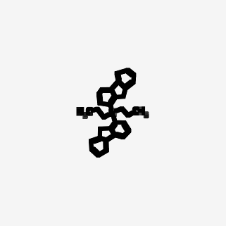 CCC[Si](CCC)(c1cccc2c1Cc1ccccc1-2)c1cccc2c1Cc1ccccc1-2